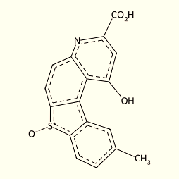 Cc1ccc2c(c1)c1c3c(O)cc(C(=O)O)nc3ccc1[s+]2[O-]